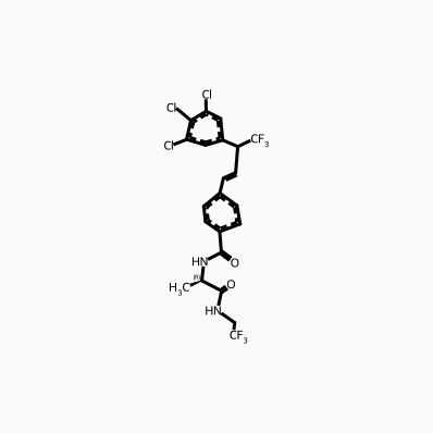 C[C@@H](NC(=O)c1ccc(C=CC(c2cc(Cl)c(Cl)c(Cl)c2)C(F)(F)F)cc1)C(=O)NCC(F)(F)F